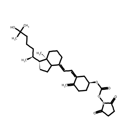 C=C1CC[C@H](OC(=O)ON2C(=O)CCC2=O)C/C1=C/C=C1\CCC[C@@]2(C)C1CC[C@@H]2[C@@H](C)CCCC(C)(C)O